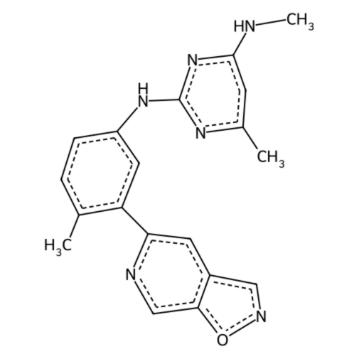 CNc1cc(C)nc(Nc2ccc(C)c(-c3cc4cnoc4cn3)c2)n1